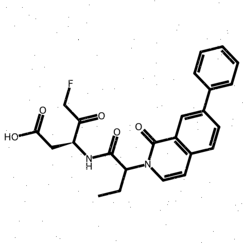 CCC(C(=O)N[C@@H](CC(=O)O)C(=O)CF)n1ccc2ccc(-c3ccccc3)cc2c1=O